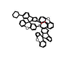 c1ccc2c(c1)Oc1ccc(N(c3ccc4c(c3)C3(c5ccccc5Oc5ccccc53)c3ccccc3-4)c3cccc4oc5ccccc5c34)cc1C21c2cc(C3CCCCC3)ccc2-c2ccc(C3CCCCC3)cc21